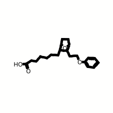 O=C(O)CCCCCCC1C2CCC(O2)C1CCOc1ccccc1